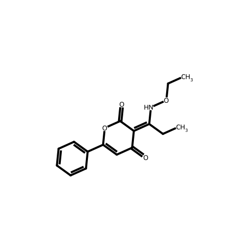 CCONC(CC)=C1C(=O)C=C(c2ccccc2)OC1=O